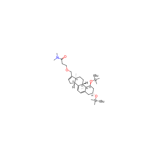 CN(C)C(=O)CCOCC1=CC[C@H]2C3=CC=C4C[C@@H](O[Si](C)(C)C(C)(C)C)C[C@H](O[Si](C)(C)C(C)(C)C)[C@]4(C)[C@H]3CC[C@]12C